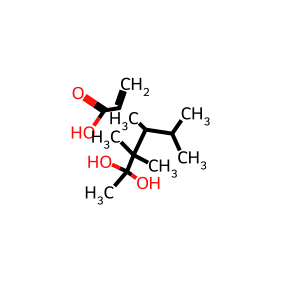 C=CC(=O)O.CC(C)C(C)C(C)(C)C(C)(O)O